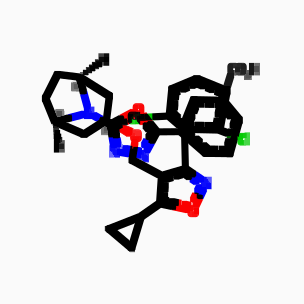 O=C(O)c1cccc(-c2nnc(N3[C@@H]4CC[C@H]3C[C@@H](OCc3c(-c5c(Cl)cccc5Cl)noc3C3CC3)C4)o2)c1